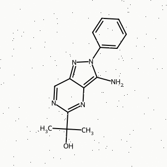 CC(C)(O)c1ncc2nn(-c3ccccc3)c(N)c2n1